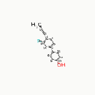 CC#Cc1ccc(-c2ccc(O)cc2)cc1F